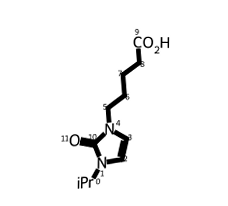 CC(C)n1ccn(CCCCC(=O)O)c1=O